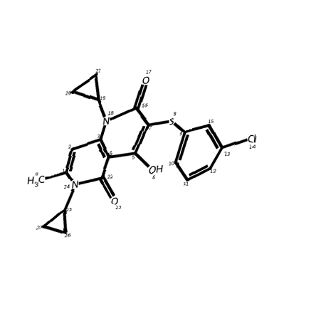 Cc1cc2c(c(O)c(Sc3cccc(Cl)c3)c(=O)n2C2CC2)c(=O)n1C1CC1